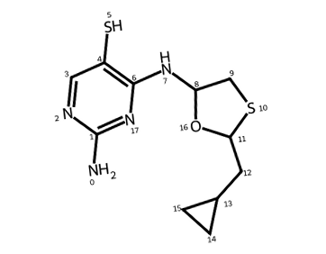 Nc1ncc(S)c(NC2CSC(CC3CC3)O2)n1